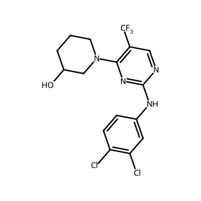 OC1CCCN(c2nc(Nc3ccc(Cl)c(Cl)c3)ncc2C(F)(F)F)C1